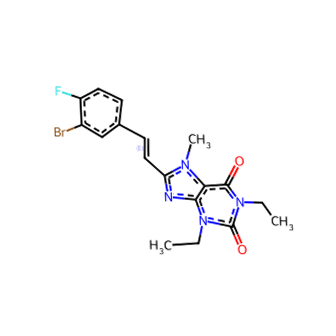 CCn1c(=O)c2c(nc(/C=C/c3ccc(F)c(Br)c3)n2C)n(CC)c1=O